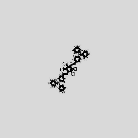 Clc1c(Cl)c(/C=C/c2ccc(N(c3ccccc3)c3ccccc3)cc2)c(Cl)c(Cl)c1/C=C/c1ccc(N(c2ccccc2)c2ccccc2)cc1